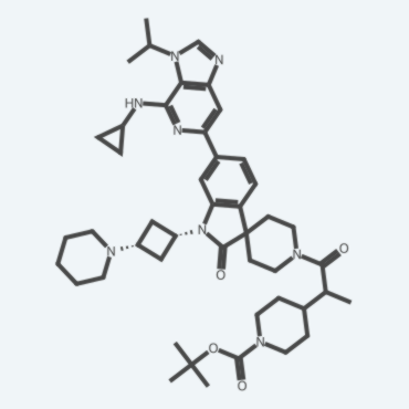 CC(C(=O)N1CCC2(CC1)C(=O)N([C@H]1C[C@@H](N3CCCCC3)C1)c1cc(-c3cc4ncn(C(C)C)c4c(NC4CC4)n3)ccc12)C1CCN(C(=O)OC(C)(C)C)CC1